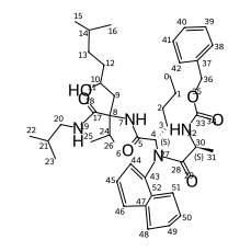 CCCC[C@@H](C(=O)NC(CC(O)CCC(C)C)(C(=O)NCC(C)C)C(C)C)N(C(=O)[C@H](C)NC(=O)OCc1ccccc1)c1cccc2ccccc12